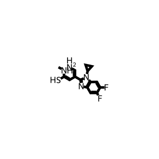 CN/C(S)=C\C(=C/N)c1nc2cc(F)c(F)cc2n1C1CC1